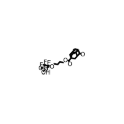 O=C1C2CC3CC1CC(C(=O)OCCCCOC(F)(F)C(F)(F)S(=O)(=O)O)(C3)C2